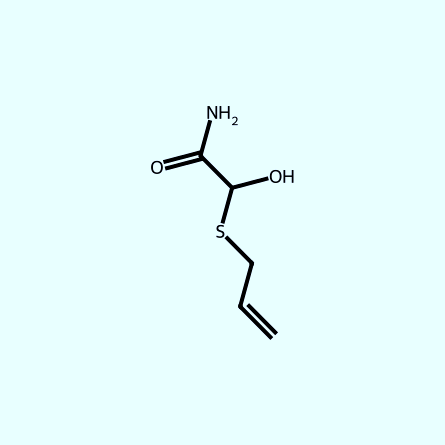 C=CCSC(O)C(N)=O